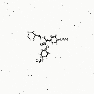 COc1ccc(C(=CC=CC2CCCCC2)C(=O)Oc2ccc([N+](=O)[O-])cc2)cc1